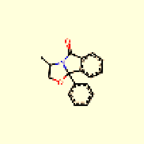 CC1COC2(c3ccccc3)c3ccccc3C(=O)N12